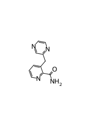 NC(=O)c1ncccc1Cc1cnccn1